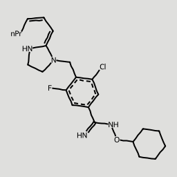 CCC/C=C\C=C1/NCCN1Cc1c(F)cc(C(=N)NOC2CCCCC2)cc1Cl